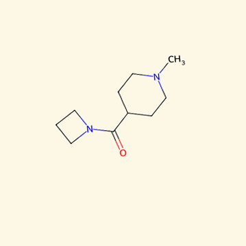 CN1CCC(C(=O)N2CCC2)CC1